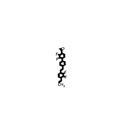 C/C=C/c1ccc(/C=C/c2ccc(-c3ccc(C4CO4)c(F)c3F)cc2)c(F)c1F